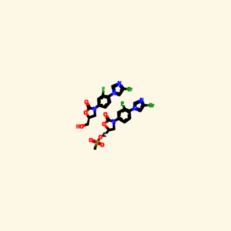 CS(=O)(=O)OC[C@@H]1CN(c2ccc(-n3cnc(Br)c3)c(F)c2)C(=O)O1.O=C1O[C@H](CO)CN1c1ccc(-n2cnc(Br)c2)c(F)c1